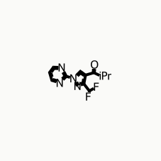 CC(C)C(=O)c1cn(-c2ncccn2)nc1C(F)F